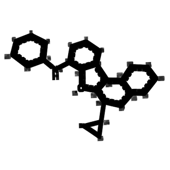 c1ccc(Nc2cccc3c2oc2c(C4CC4)cc4ccccc4c23)cc1